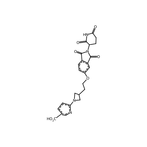 O=C1CCC(N2C(=O)c3ccc(OCCC4CN(c5ccc(C(=O)O)cn5)C4)cc3C2=O)C(=O)N1